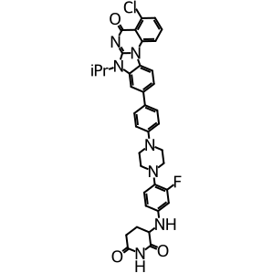 CC(C)n1c2cc(-c3ccc(N4CCN(c5ccc(NC6CCC(=O)NC6=O)cc5F)CC4)cc3)ccc2n2c3cccc(Cl)c3c(=O)nc12